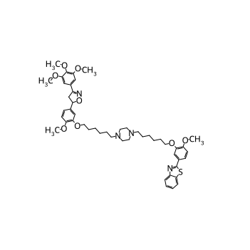 COc1ccc(-c2nc3ccccc3s2)cc1OCCCCCCN1CCN(CCCCCCOc2cc(C3CC(c4cc(OC)c(OC)c(OC)c4)=NO3)ccc2OC)CC1